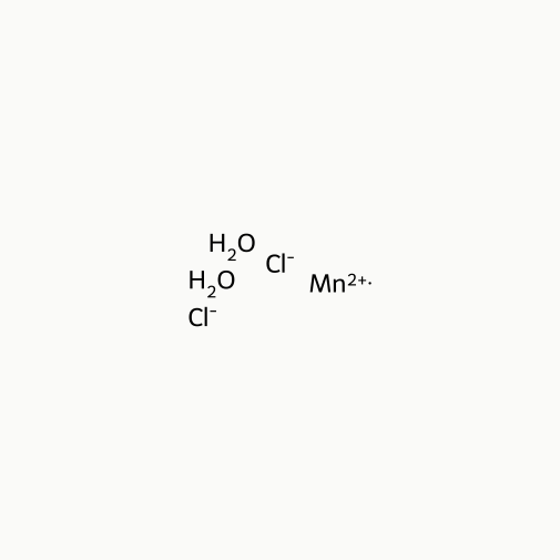 O.O.[Cl-].[Cl-].[Mn+2]